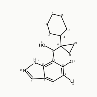 OC(c1c(Cl)c(Cl)cc2cn[nH]c12)C1(C2CCCCC2)CC1